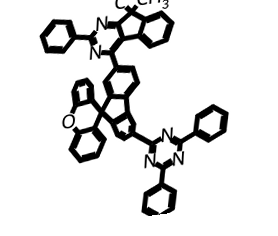 CC1(C)c2ccccc2-c2c(-c3ccc4c(c3)C3(c5ccccc5Oc5ccccc53)c3ccc(-c5nc(-c6ccccc6)nc(-c6ccccc6)n5)cc3-4)nc(-c3ccccc3)nc21